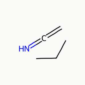 C=C=N.CCC